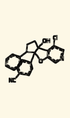 N#Cc1ccc(C23Oc4cncc(Cl)c4C2(O)CCC3c2ccccc2)cc1